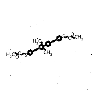 C=CC(=O)OCCSc1ccc(C#Cc2ccc(-c3c(CC)cc(C#Cc4ccc(SCCOC(=O)C=C)cc4)cc3CC)cc2)cc1